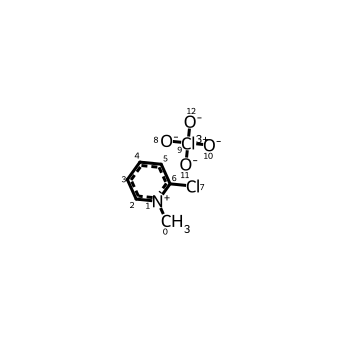 C[n+]1ccccc1Cl.[O-][Cl+3]([O-])([O-])[O-]